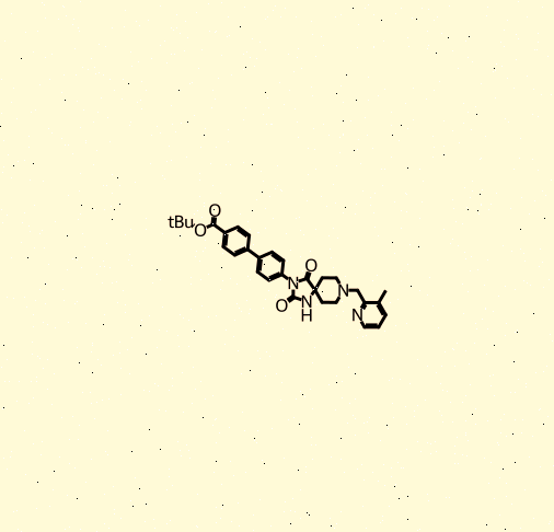 Cc1cccnc1CN1CCC2(CC1)NC(=O)N(c1ccc(-c3ccc(C(=O)OC(C)(C)C)cc3)cc1)C2=O